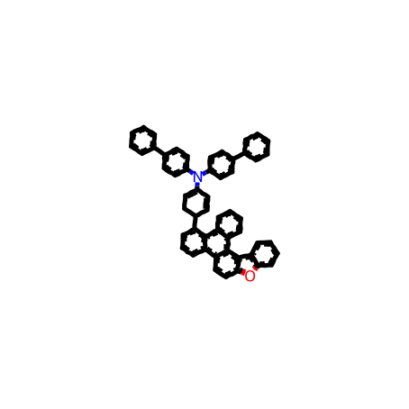 C1=CC(c2cccc3c4ccc5oc6ccccc6c5c4c4ccccc4c23)CC=C1N(c1ccc(-c2ccccc2)cc1)c1ccc(-c2ccccc2)cc1